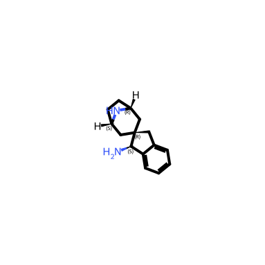 N[C@@H]1c2ccccc2C[C@@]12C[C@H]1CC[C@@H](C2)N1